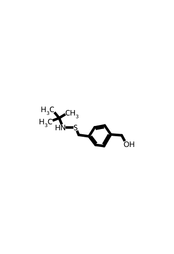 CC(C)(C)NSCc1ccc(CO)cc1